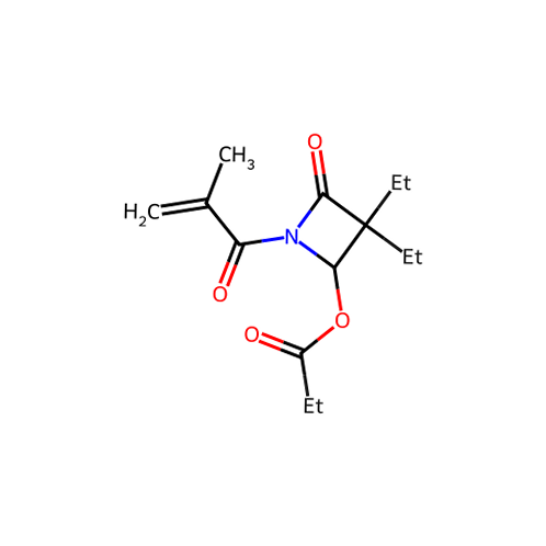 C=C(C)C(=O)N1C(=O)C(CC)(CC)C1OC(=O)CC